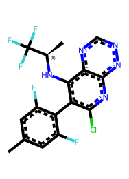 Cc1cc(F)c(-c2c(Cl)nc3nncnc3c2N[C@H](C)C(F)(F)F)c(F)c1